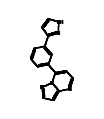 c1cc(-c2cc[nH]n2)cc(-c2ccnc3ccnn23)c1